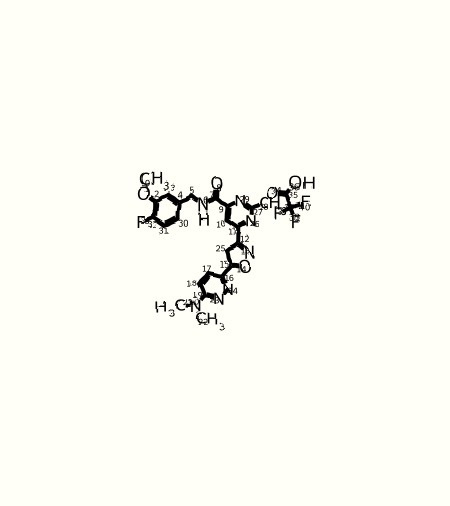 COc1cc(CNC(=O)c2cc(C3=NOC(c4ccc(N(C)C)nn4)C3)nc(C)n2)ccc1F.O=C(O)C(F)(F)F